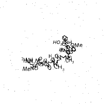 [2H]NCCCCC(NC)C(=O)CNC(CSC1CC(=O)N(CCC(=O)N(C)CCCN(C)CCCN(C)C(=O)c2ccc(-n3nc(C(=O)NC4(C(=O)O)C5CC6CC(C5)CC4C6)cc3-c3c(OC)cccc3OC)c(C(C)C)c2)C1=O)C(N)=O